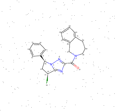 O=C(c1nc2n(n1)[C@H](c1ccccc1)C[C@@H]2F)N1CCCc2ccccc2C1